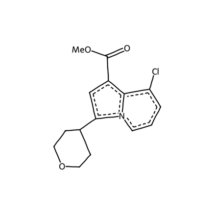 COC(=O)c1cc(C2CCOCC2)n2cccc(Cl)c12